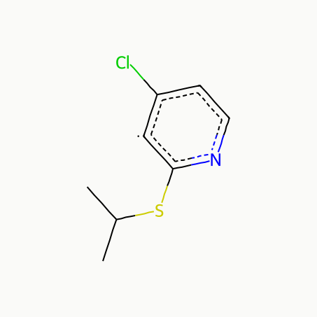 CC(C)Sc1[c]c(Cl)ccn1